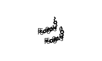 CCCc1ccc(Cc2csc(N3CCN(S(=O)(=O)c4ccc(OC(F)(F)F)cc4)CC3)n2)cc1.CCOc1ccc(Cc2csc(N3CCN(S(=O)(=O)c4ccc(OC(F)(F)F)cc4)CC3)n2)cc1